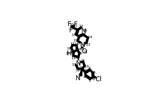 N#CC1(c2ccc(Cl)cc2)CCN([C@H]2C[C@H]3CCC[C@@]3(C(=O)N3CCc4ncc(C(F)(F)F)cc4C3)C2)CC1